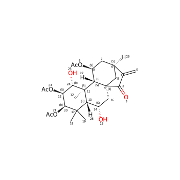 C=C1C(=O)[C@]23C[C@H]1C[C@H](OC(C)=O)[C@H]2[C@@]1(C)[C@H]([C@@H](O)C3)C(C)(C)[C@@H](OC(C)=O)[C@@H](OC(C)=O)[C@@H]1O